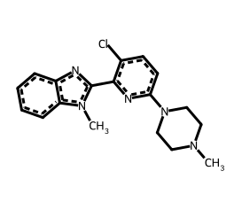 CN1CCN(c2ccc(Cl)c(-c3nc4ccccc4n3C)n2)CC1